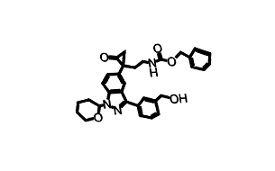 O=C(NCCC1(c2ccc3c(c2)c(-c2cccc(CO)c2)nn3C2CCCCO2)CC1=O)OCc1ccccc1